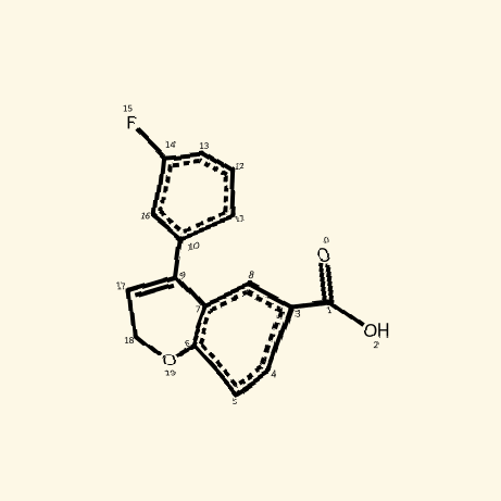 O=C(O)c1ccc2c(c1)C(c1cccc(F)c1)=CCO2